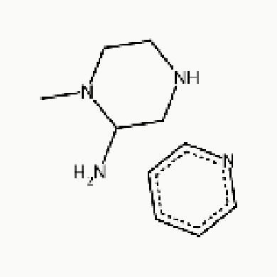 CN1CCNCC1N.c1ccncc1